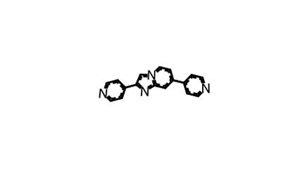 c1cc(-c2ccn3cc(-c4ccncc4)nc3c2)ccn1